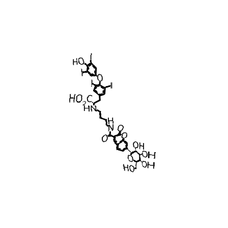 O=C(NCCCCN[C@@H](Cc1cc(I)c(Oc2cc(I)c(O)c(I)c2)c(I)c1)C(=O)O)c1cc2ccc([C@@H]3O[C@H](CO)[C@H](O)[C@H](O)[C@H]3O)cc2oc1=O